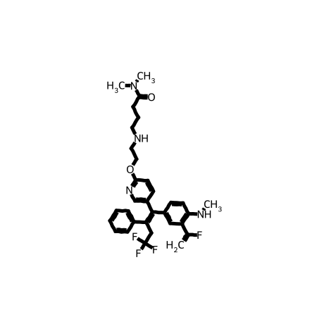 C=C(F)c1cc(/C(=C(\CC(F)(F)F)c2ccccc2)c2ccc(OCCNCCCC(=O)N(C)C)nc2)ccc1NC